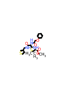 COC(=O)[C@@H]1N[C@@H]([C@H](NC(=O)COc2ccccc2)C(=O)NCc2ccsc2)SC1(C)C